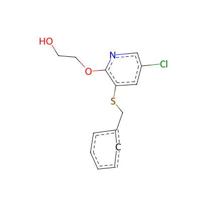 OCCOc1ncc(Cl)cc1SCc1ccccc1